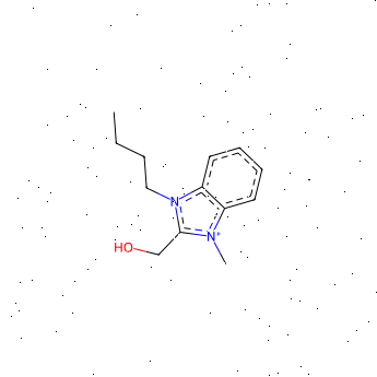 CCCCn1c(CO)[n+](C)c2ccccc21